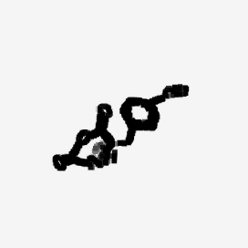 COc1ccc(C[C@@H]2NC(=O)OC2=O)cc1